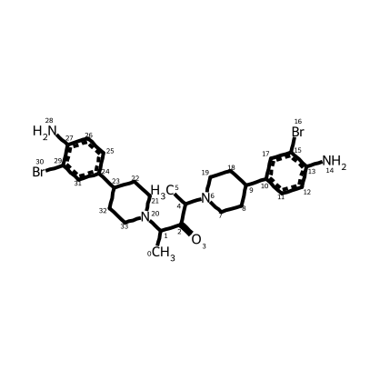 CC(C(=O)C(C)N1CCC(c2ccc(N)c(Br)c2)CC1)N1CCC(c2ccc(N)c(Br)c2)CC1